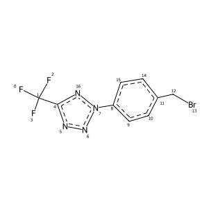 FC(F)(F)c1nnn(-c2ccc(CBr)cc2)n1